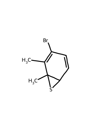 CC1=C(Br)C=CC2SC12C